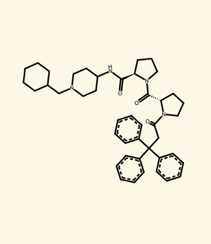 O=C(NC1CCN(CC2CCCCC2)CC1)[C@H]1CCCN1C(=O)[C@@H]1CCCN1C(=O)CC(c1ccccc1)(c1ccccc1)c1ccccc1